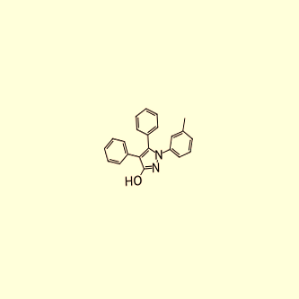 Cc1cccc(-n2nc(O)c(-c3ccccc3)c2-c2ccccc2)c1